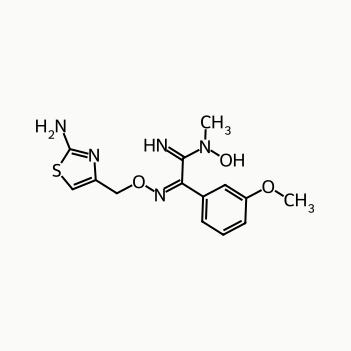 COc1cccc(/C(=N/OCc2csc(N)n2)C(=N)N(C)O)c1